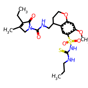 CCCNC(=S)NS(=O)(=O)c1cc2c(cc1OC)OCCC2CNC(=O)N1CC(C)=C(CC)C1=O